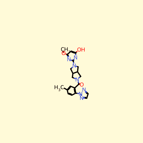 COc1cc(O)nc(N2CC3CN(C(=O)c4cc(C)ccc4-n4nccn4)CC3C2)n1